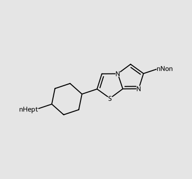 CCCCCCCCCc1cn2cc(C3CCC(CCCCCCC)CC3)sc2n1